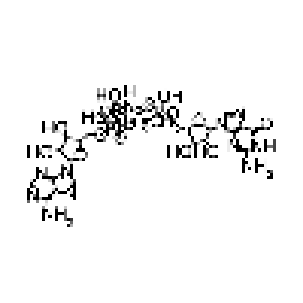 C=P(O)(OC[C@H]1O[C@@H](n2cnc3c(=O)[nH]c(N)nc32)[C@@H](O)C1O)OP(=O)(O)NP(=O)(O)OP(=O)(O)OC[C@H]1O[C@@H](n2cnc3c(N)ncnc32)C(O)C1O